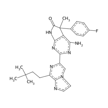 CC(C)(C)CCc1nc(-c2nc(N)c3c(n2)NC(=O)C3(C)c2ccc(F)cc2)cn2ccnc12